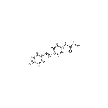 C=CC(=O)Cc1ccc(/N=N/c2ccc(C)cc2)cc1